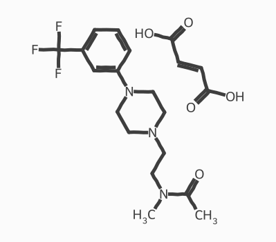 CC(=O)N(C)CCN1CCN(c2cccc(C(F)(F)F)c2)CC1.O=C(O)C=CC(=O)O